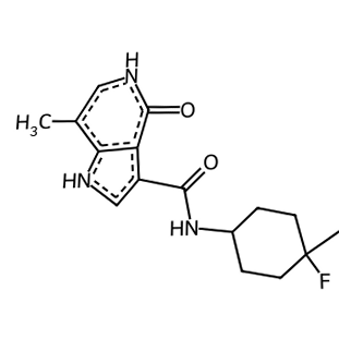 Cc1c[nH]c(=O)c2c(C(=O)NC3CCC(F)(F)CC3)c[nH]c12